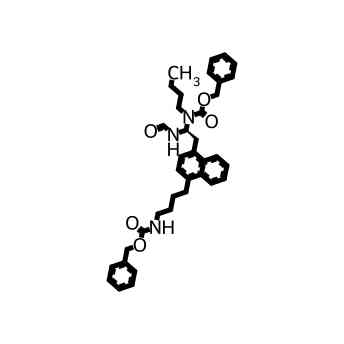 CCCCN(C(=O)OCc1ccccc1)[C@@H](Cc1ccc(CCCCNC(=O)OCc2ccccc2)c2ccccc12)NC=O